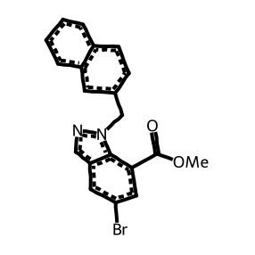 COC(=O)c1cc(Br)cc2cnn(Cc3ccc4ccccc4c3)c12